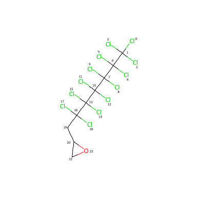 ClC(Cl)(Cl)C(Cl)(Cl)C(Cl)(Cl)C(Cl)(Cl)C(Cl)(Cl)C(Cl)(Cl)CC1CO1